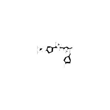 Cc1cc(-c2nc(-c3ccc(OC(F)(F)F)cc3)no2)nn1Cc1ccc(F)cc1